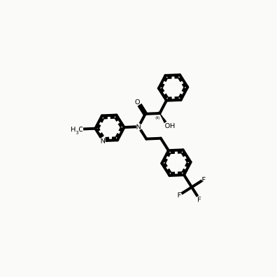 Cc1ccc(N(CCc2ccc(C(F)(F)F)cc2)C(=O)[C@H](O)c2ccccc2)cn1